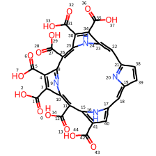 O=C(O)C1=C(C(=O)O)c2nc1c(C(=O)O)c1[nH]c(cc3nc(cc4[nH]c(c2C(=O)O)c(C(=O)O)c4C(=O)O)C=C3)cc1C(=O)O